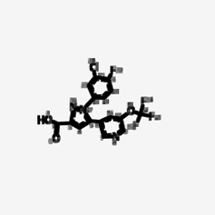 O=C(O)c1cc(-c2cncc(OC(F)(F)F)c2)n(-c2ccc(F)c(Cl)c2)n1